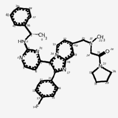 C[C@H](Nc1nccc(-c2c(-c3ccc(F)cc3)nc3cc(CN(C)CC(=O)N4CCCC4)ccn23)n1)c1ccccc1